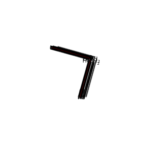 C=CC(=O)O.C=CC(=O)O.[Na+].[Na+].[Na+].[Na+].[Na+].[Na+].[Na+].[Na+].[Na+].[Na+].[Na+].[Na+].[Na+].[Na+].[Na+].[Na+].[Na+].[Na+].[Na+].[Na+].[Na+].[Na+].[Na+].[Na+].[Na+].[Na+].[Na+].[Na+].[Na+].[Na+].[Na+].[Na+].[Na+].[Na+].[Na+].[Na+].[Na+].[Na+].[Na+].[Na+].[Na+].[Na+].[Na+].[Na+].[Na+].[Na+].[Na+].[Na+].[Na+].[Na+].[Na+].[Na+].[Na+].[Na+].[Na+].[Na+].[Na+].[Na+].[Na+].[Na+].[Na+].[Na+].[Na+].[Na+].[Na+].[Na+].[Na+].[Na+].[Na+].[Na+].[Na+].[Na+].[Na+].[Na+].[Na+].[Na+].[Na+].[Na+].[Na+].[Na+].[Na+].[Na+].[Na+].[Na+].[Na+].[Na+].[Na+].[Na+].[Na+].[Na+].[Na+].[Na+].[Na+].[Na+].[Na+].[Na+].[Na+].[Na+].[Na+].[Na+].[Na+].[Na+].[Na+].[Na+].[Na+].[Na+].[Na+].[Na+].[Na+].[Na+].[Na+].[Na+].[Na+].[Na+].[Na+].[Na+]